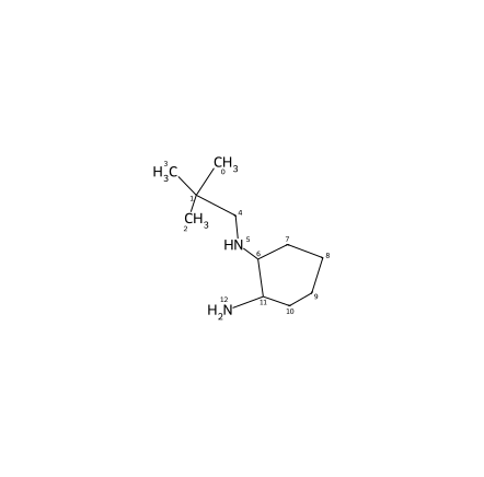 CC(C)(C)CNC1CCCCC1N